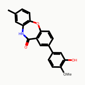 COc1ccc(-c2ccc3c(c2)C(=O)Nc2cc(C)ccc2O3)cc1O